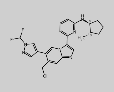 C[C@H]1CCC[C@@H]1Nc1cccc(-c2cnc3cc(CO)c(-c4cnn(C(F)F)c4)cn23)n1